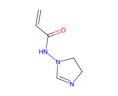 C=CC(=O)NN1C=NCC1